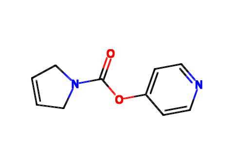 O=C(Oc1ccncc1)N1CC=CC1